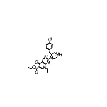 CCOC(=O)c1cn(CC)c2nc(N3CCNCC3Cc3ccc(OC)cc3)ncc2c1=O